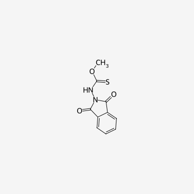 COC(=S)NN1C(=O)c2ccccc2C1=O